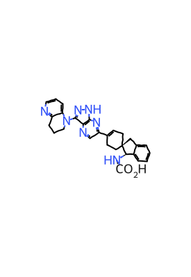 O=C(O)N[C@@H]1c2ccccc2C[C@@]12CC=C(c1cnc3c(N4CCCc5ncccc54)n[nH]c3n1)CC2